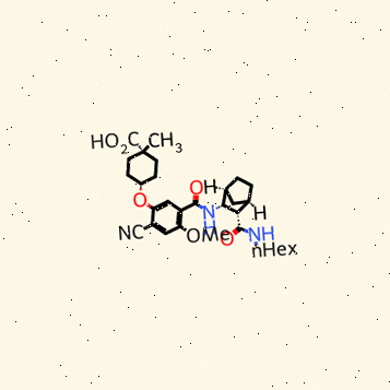 CCCCCCNC(=O)[C@H]1[C@@H]2CC[C@@H](C2)[C@H]1NC(=O)c1cc(O[C@H]2CC[C@@](C)(C(=O)O)CC2)c(C#N)cc1OC